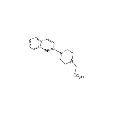 O=C(O)CN1CCN(c2ccc3ccccc3n2)CC1